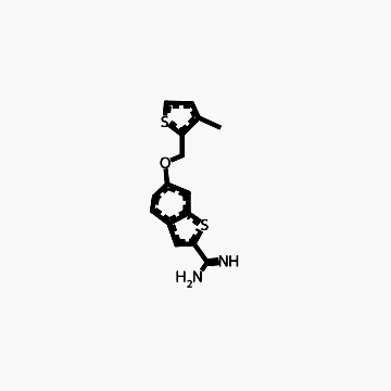 Cc1ccsc1COc1ccc2cc(C(=N)N)sc2c1